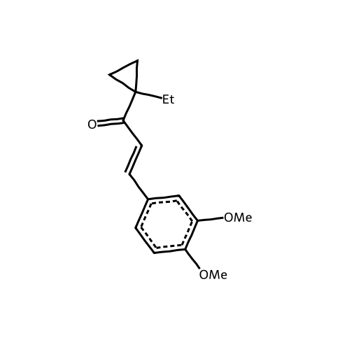 CCC1(C(=O)C=Cc2ccc(OC)c(OC)c2)CC1